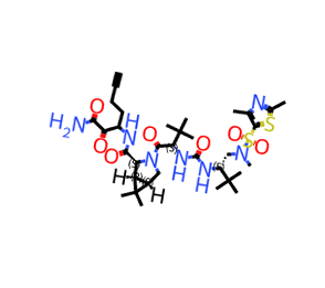 C#CCCC(NC(=O)[C@@H]1[C@@H]2[C@H](CN1C(=O)[C@@H](NC(=O)N[C@H](CN(C)S(=O)(=O)c1sc(C)nc1C)C(C)(C)C)C(C)(C)C)C2(C)C)C(=O)C(N)=O